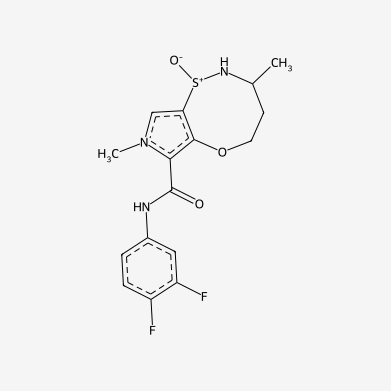 CC1CCOc2c(cn(C)c2C(=O)Nc2ccc(F)c(F)c2)[S+]([O-])N1